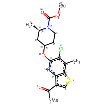 CNC(=O)c1csc2c(C(F)(F)F)c(Cl)c(O[C@@H]3CCN(C(=O)OC(C)(C)C)[C@H](C)C3)nc12